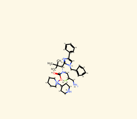 CC(C)(C)[C@H](c1nc(-c2ccccc2)cn1Cc1ccccc1)N(CC(F)CN)C(=O)O[N+]1(C2CCNCC2)CCCCC1